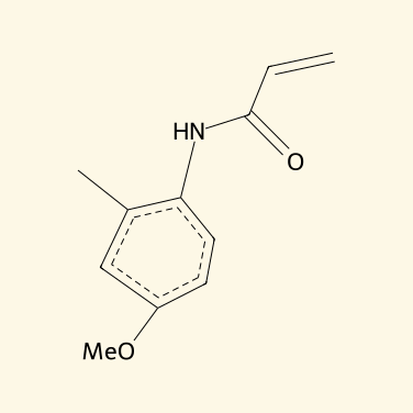 C=CC(=O)Nc1ccc(OC)cc1C